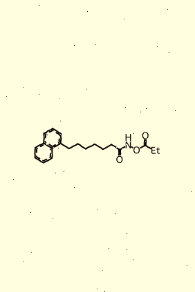 CCC(=O)ONC(=O)CCCCCCc1cccc2ccccc12